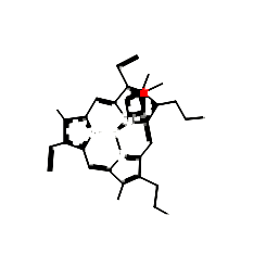 C=CC1=C(C)C2=[N+]3C1=Cc1c(C)c(C=C)c4[n]1[Fe@@]31[n]3c(c(C)c(CCC(=O)O)c3=CC3=[N+]1C(=C4)C(C)=C3CCC(=O)O)=C2